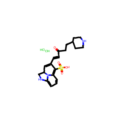 Cl.Cl.O=C(C=CC1=CC2CNC3=CC=CC(=C1S(=O)(=O)O)N32)CCC1CCNCC1